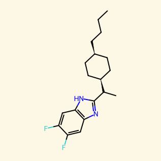 CCCC[C@H]1CC[C@@H](C(C)c2nc3cc(F)c(F)cc3[nH]2)CC1